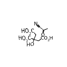 CC(=O)C#N.O=C(O)CC(O)(CC(=O)O)C(=O)O